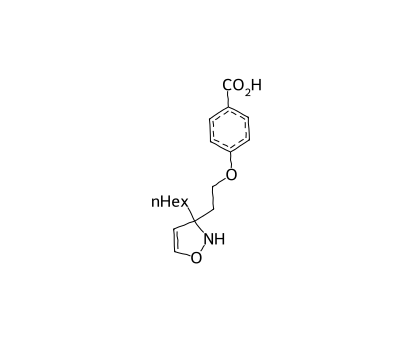 CCCCCCC1(CCOc2ccc(C(=O)O)cc2)C=CON1